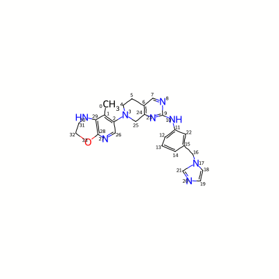 Cc1c(N2CCc3cnc(Nc4cccc(Cn5ccnc5)c4)nc3C2)cnc2c1NCCO2